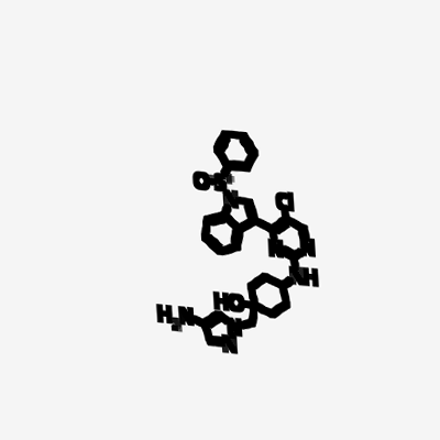 Nc1cnn(CC2(O)CCC(Nc3ncc(Cl)c(-c4cn([S+]([O-])c5ccccc5)c5ccccc45)n3)CC2)c1